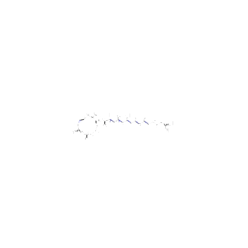 CC(=C\C=C\C(C)=C\CCC[C@@H](C)O)/C=C(C)/C=C/C(=O)O[C@H]1CCCC(=O)O[C@@H](C(C)C)C/C=C/C[C@@H]1C